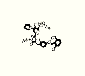 COC(=O)[C@H](Cc1ccc(OCc2c(Cl)cccc2Cl)cc1)NC(=O)CCC(C=O)(C(=O)OC)N1CCCC1